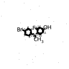 CN(c1ccc(Br)cc1)c1ccc(O)cc1F